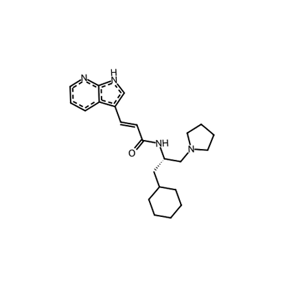 O=C(C=Cc1c[nH]c2ncccc12)N[C@@H](CC1CCCCC1)CN1CCCC1